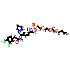 C=C(/C=C\C=C(/C)NS(=O)(=O)CCOCCOCCOCCCC)[C@@H](CN1CCCC1)N(C)C(=O)Cc1ccc(Cl)c(Cl)c1